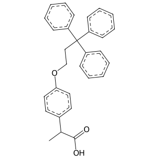 CC(C(=O)O)c1ccc(OCCC(c2ccccc2)(c2ccccc2)c2ccccc2)cc1